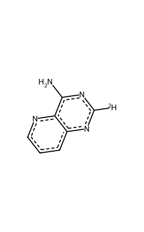 [2H]c1nc(N)c2ncccc2n1